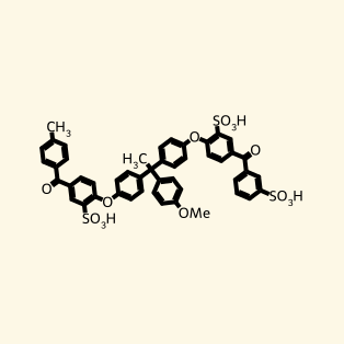 COc1ccc(C(C)(c2ccc(Oc3ccc(C(=O)c4ccc(C)cc4)cc3S(=O)(=O)O)cc2)c2ccc(Oc3ccc(C(=O)c4cccc(S(=O)(=O)O)c4)cc3S(=O)(=O)O)cc2)cc1